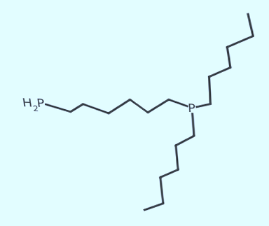 CCCCCCP(CCCCCC)CCCCCCP